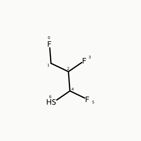 FCC(F)C(F)S